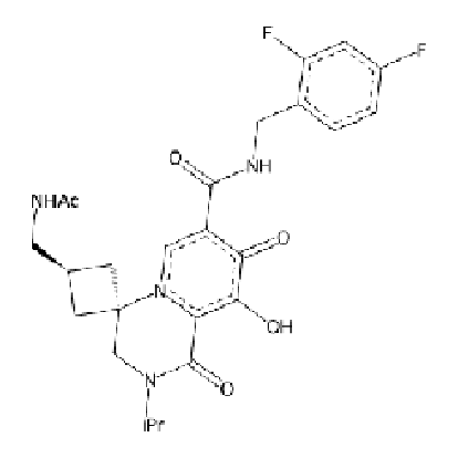 CC(=O)NC[C@H]1C[C@]2(CN(C(C)C)C(=O)c3c(O)c(=O)c(C(=O)NCc4ccc(F)cc4F)cn32)C1